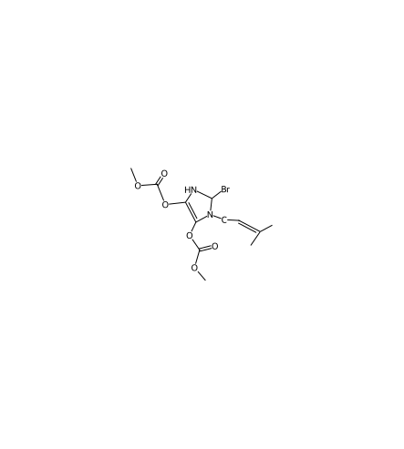 COC(=O)OC1=C(OC(=O)OC)N(CC=C(C)C)C(Br)N1